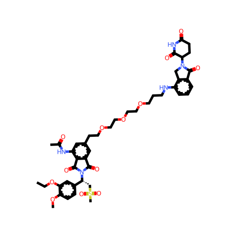 CCOc1cc([C@@H](CS(C)(=O)=O)N2C(=O)c3cc(CCOCCOCCOCCCNc4cccc5c4CN(C4CCC(=O)NC4=O)C5=O)cc(NC(C)=O)c3C2=O)ccc1OC